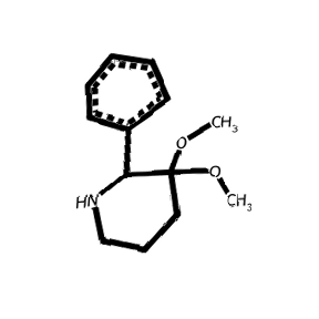 COC1(OC)CCCNC1c1ccccc1